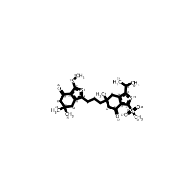 CSc1sc(CCCC2(C)CC(=O)c3c(S(C)(=O)=O)sc(C(C)C)c3C2)c2c1C(=O)CC(C)(C)C2